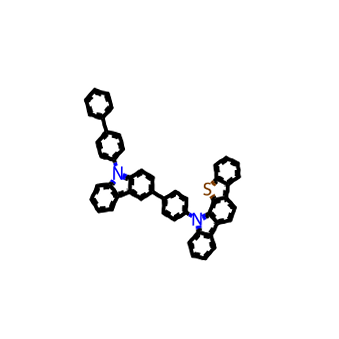 c1ccc(-c2ccc(-n3c4ccccc4c4cc(-c5ccc(-n6c7ccccc7c7ccc8c9ccccc9sc8c76)cc5)ccc43)cc2)cc1